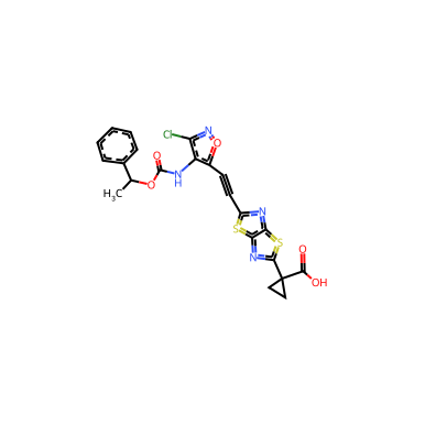 CC(OC(=O)Nc1c(Cl)noc1C#Cc1nc2sc(C3(C(=O)O)CC3)nc2s1)c1ccccc1